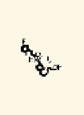 CC(NC(=O)C=Cc1cc(F)ccc1F)c1ccc2c(c1)N(CCO)CCC2